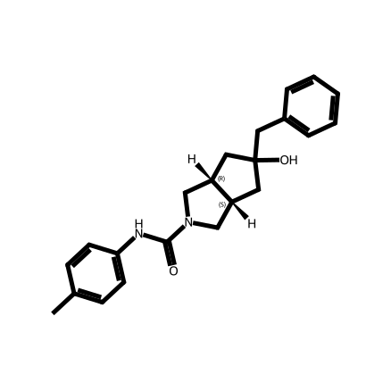 Cc1ccc(NC(=O)N2C[C@@H]3CC(O)(Cc4ccccc4)C[C@@H]3C2)cc1